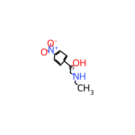 CCNC[C@H](O)c1ccc([N+](=O)[O-])cc1